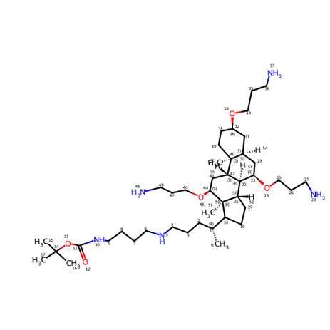 C[C@H](CCCNCCCCNC(=O)OC(C)(C)C)C1CC[C@H]2[C@@H]3[C@H](OCCCN)C[C@@H]4C[C@H](OCCCN)CC[C@]4(C)[C@H]3C[C@H](OCCCN)[C@]12C